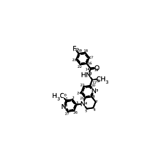 Cc1cc(N2CCCc3nc([C@H](C)NC(=O)c4ccc(F)cc4)ccc32)ccn1